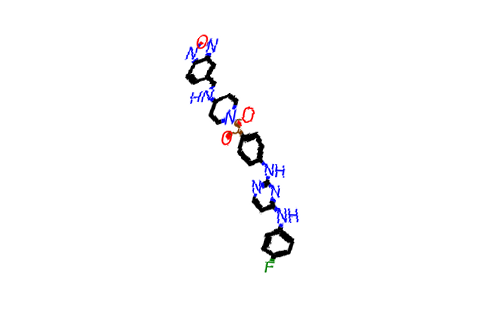 O=S(=O)(c1ccc(Nc2nccc(Nc3ccc(F)cc3)n2)cc1)N1CCC(NCc2ccc3nonc3c2)CC1